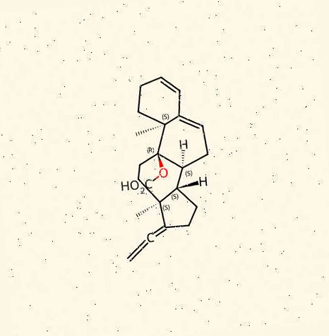 C=C=C1CC[C@H]2[C@@H]3CC=C4C=CCC[C@]4(C)[C@@]3(OC(=O)O)CC[C@]12C